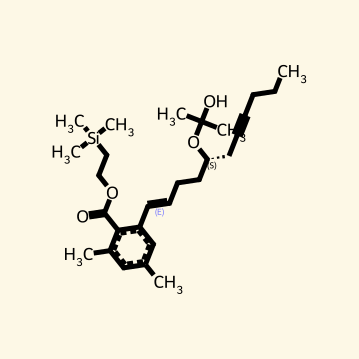 CCCC#CC[C@H](CC/C=C/c1cc(C)cc(C)c1C(=O)OCC[Si](C)(C)C)OC(C)(C)O